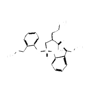 CCCCOCc1ccccc1OP(=O)(CC(CCC(=O)O)C(=O)OC)Oc1ccccc1C(=O)OCCCC